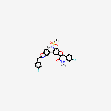 CNC(=O)c1c(-c2ccc(F)cc2)oc2cc(N(C)S(C)(=O)=O)c(-c3ccc4oc(Cc5ccc(F)cc5)nc4c3)cc12